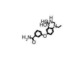 CCN1CNS(O)(O)c2cc(Oc3cccc(C(N)=O)c3)ccc21